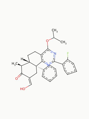 CC(C)Oc1nc(-c2ccccc2F)nc2c1CC[C@H]1[C@H](C)C(=O)/C(=C\O)C[C@]21c1ccccc1